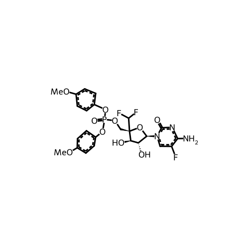 COc1ccc(OP(=O)(OC[C@@]2(C(F)F)O[C@@H](n3cc(F)c(N)nc3=O)[C@H](O)[C@H]2O)Oc2ccc(OC)cc2)cc1